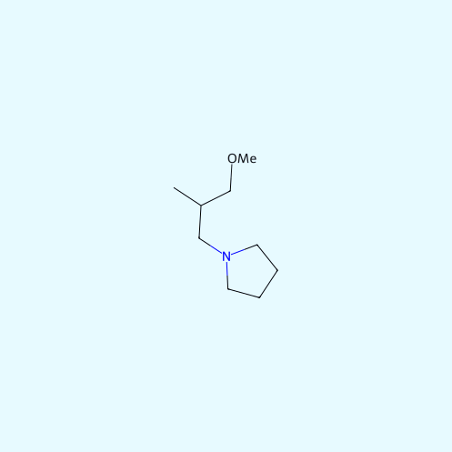 COCC(C)CN1CCCC1